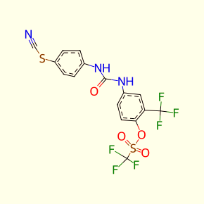 N#CSc1ccc(NC(=O)Nc2ccc(OS(=O)(=O)C(F)(F)F)c(C(F)(F)F)c2)cc1